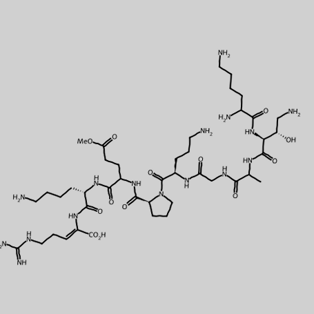 COC(=O)CCC(NC(=O)[C@@H]1CCCN1C(=O)[C@@H](CCCN)NC(=O)CNC(=O)C(C)NC(=O)[C@@H](NC(=O)C(N)CCCCN)[C@@H](O)CN)C(=O)N[C@@H](CCCCN)C(=O)N/C(=C\CCNC(=N)N)C(=O)O